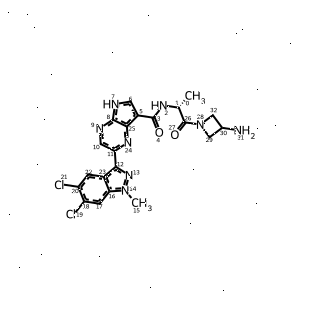 C[C@@H](NC(=O)c1c[nH]c2ncc(-c3nn(C)c4cc(Cl)c(Cl)cc34)nc12)C(=O)N1CC(N)C1